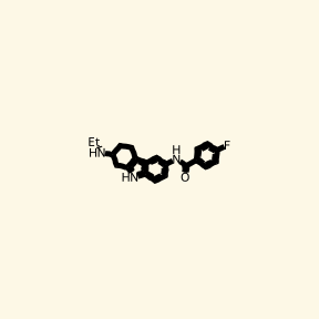 CCNC1CCc2c([nH]c3ccc(NC(=O)c4ccc(F)cc4)cc23)C1